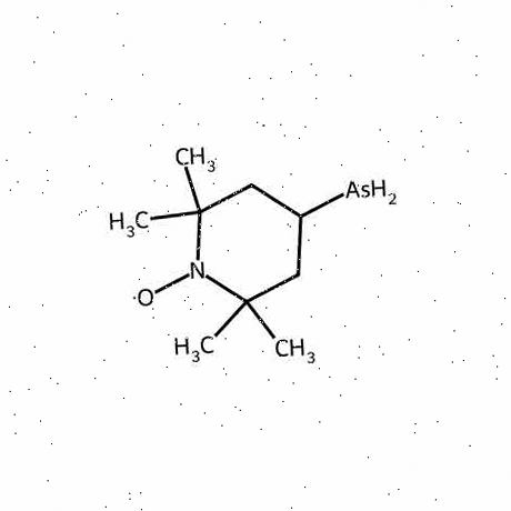 CC1(C)CC([AsH2])CC(C)(C)N1[O]